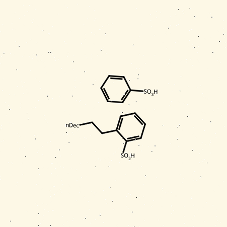 CCCCCCCCCCCCc1ccccc1S(=O)(=O)O.O=S(=O)(O)c1ccccc1